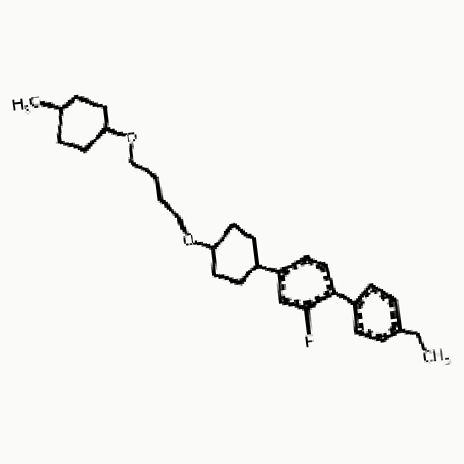 CCc1ccc(-c2ccc(C3CCC(OCCCCOC4CCC(C)CC4)CC3)cc2F)cc1